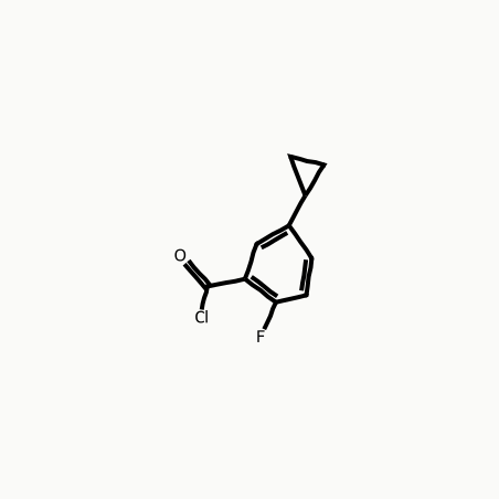 O=C(Cl)c1cc(C2CC2)ccc1F